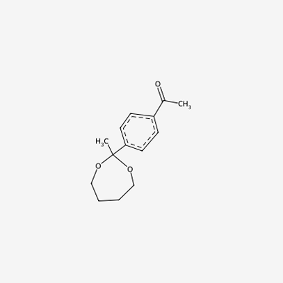 CC(=O)c1ccc(C2(C)OCCCCO2)cc1